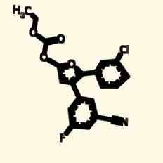 CCOC(=O)Oc1cc(-c2cc(F)cc(C#N)c2)c(-c2cccc(Cl)c2)o1